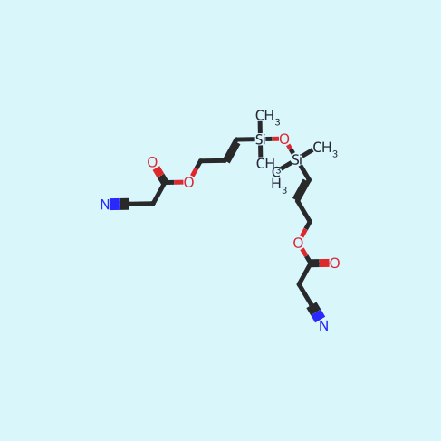 C[Si](C)(C=CCOC(=O)CC#N)O[Si](C)(C)C=CCOC(=O)CC#N